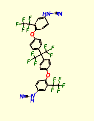 N#CNc1ccc(Oc2ccc(C(c3ccc(Oc4ccc(NC#N)cc4C(F)(F)C(F)(F)F)cc3)(C(F)(F)F)C(F)(F)F)cc2)c(C(F)(F)C(F)(F)F)c1